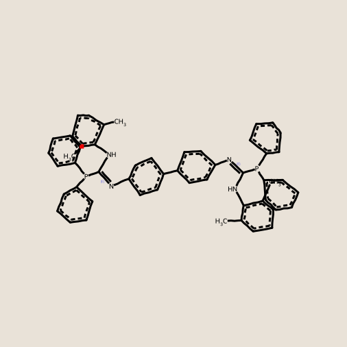 Cc1cccc(C)c1N/C(=N\c1ccc(-c2ccc(/N=C(\Nc3c(C)cccc3C)P(c3ccccc3)c3ccccc3)cc2)cc1)P(c1ccccc1)c1ccccc1